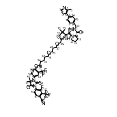 Cc1ncsc1-c1ccc(CNC(=O)[C@@H]2CCCN2C(=O)[C@@H](NC(=O)COCCCOCCCCCOc2ncc(N3C(=S)N(c4ccc(C#N)c(C(F)(F)F)c4F)C(=O)C3(C)C)cc2C(F)(F)F)C(C)(C)C)cc1